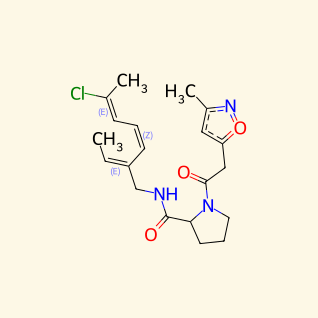 C\C=C(/C=C\C=C(/C)Cl)CNC(=O)C1CCCN1C(=O)Cc1cc(C)no1